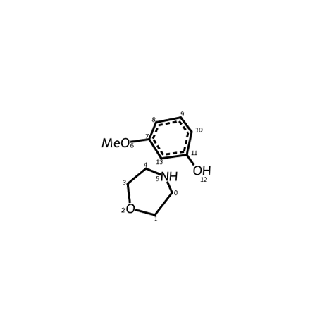 C1COCCN1.COc1cccc(O)c1